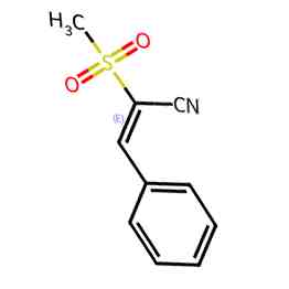 CS(=O)(=O)/C(C#N)=C/c1ccccc1